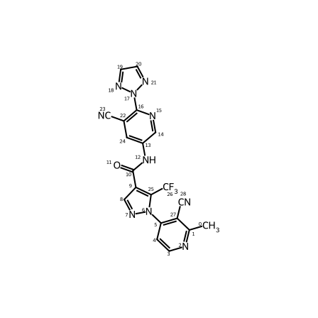 Cc1nccc(-n2ncc(C(=O)Nc3cnc(-n4nccn4)c(C#N)c3)c2C(F)(F)F)c1C#N